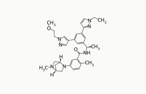 CCn1ccc(-c2cc(-c3cnn(CCOC)c3)cc([C@@H](C)NC(=O)c3cc(N4C[C@H]5C[C@@H]4CN5C)ccc3C)c2)n1